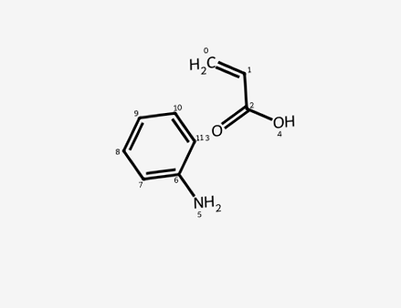 C=CC(=O)O.Nc1ccccc1